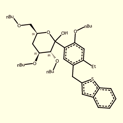 CCCCOC[C@@H]1C[C@H](OCCCC)[C@@H](OCCCC)C(O)(c2cc(Cc3cc4ccccc4s3)c(CC)cc2OCCCC)O1